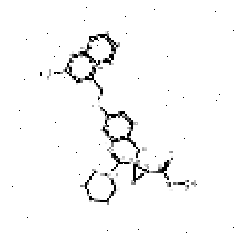 Cc1cc(COc2ccc(C[C@]3(C(=O)N4CCCCC4)C[C@@H]3C(=O)NO)cc2)c2ccccc2n1